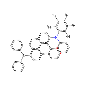 [2H]c1c([2H])c([2H])c(N(c2ccccc2)c2ccc3ccc4c(B(c5ccccc5)c5ccccc5)ccc5c6ccccc6c2c3c45)c([2H])c1[2H]